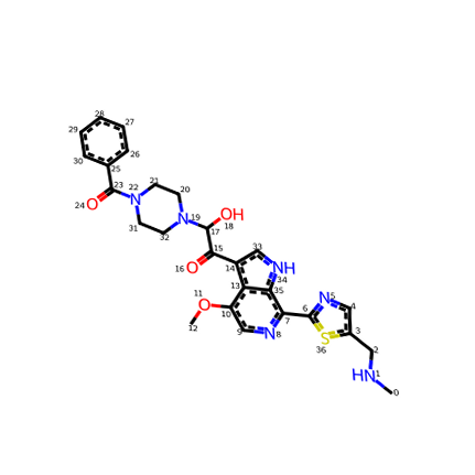 CNCc1cnc(-c2ncc(OC)c3c(C(=O)C(O)N4CCN(C(=O)c5ccccc5)CC4)c[nH]c23)s1